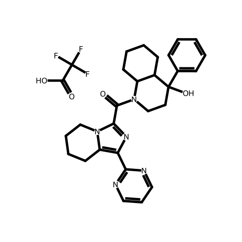 O=C(O)C(F)(F)F.O=C(c1nc(-c2ncccn2)c2n1CCCC2)N1CCC(O)(c2ccccc2)C2CCCCC21